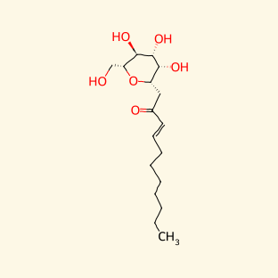 CCCCCCC/C=C/C(=O)C[C@@H]1O[C@H](CO)[C@@H](O)[C@H](O)[C@@H]1O